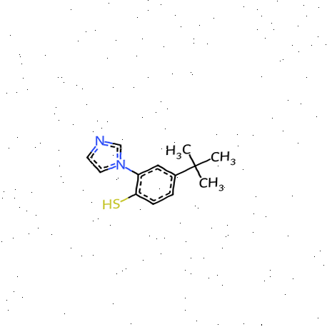 CC(C)(C)c1ccc(S)c(-n2ccnc2)c1